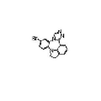 Brc1ccc2c(c1)-n1cnnc1-c1cccc3c1N2CC3